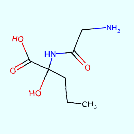 CCCC(O)(NC(=O)CN)C(=O)O